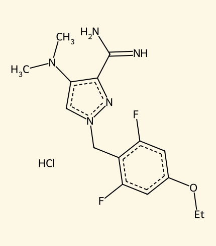 CCOc1cc(F)c(Cn2cc(N(C)C)c(C(=N)N)n2)c(F)c1.Cl